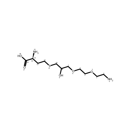 NCCOCCOCC(O)CSCC[C@H](N)C(=O)O